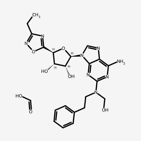 CCc1noc([C@H]2O[C@@H](n3cnc4c(N)nc(N(CO)CCc5ccccc5)nc43)[C@H](O)[C@@H]2O)n1.O=CO